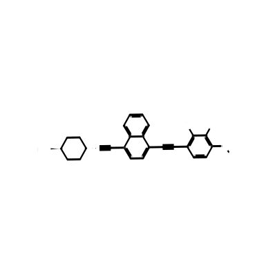 CCC[C@H]1CC[C@H](C#Cc2ccc(C#Cc3ccc(OCC)c(F)c3F)c3ccccc23)CC1